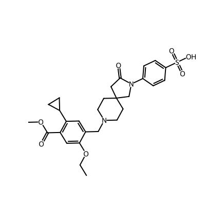 CCOc1cc(C(=O)OC)c(C2CC2)cc1CN1CCC2(CC1)CC(=O)N(c1ccc(S(=O)(=O)O)cc1)C2